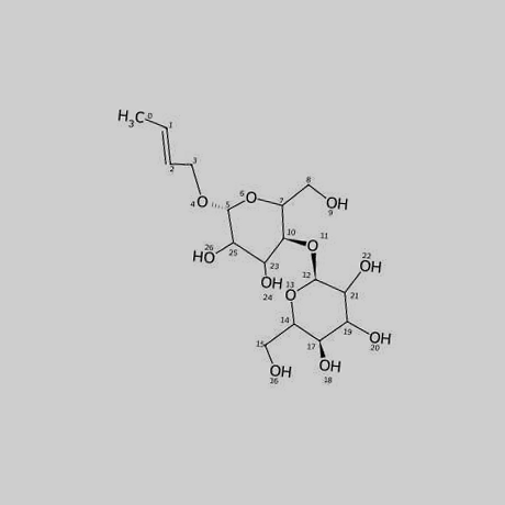 C/C=C/CO[C@@H]1OC(CO)[C@@H](O[C@@H]2OC(CO)[C@H](O)C(O)C2O)C(O)C1O